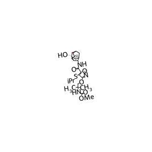 COC(=O)NC(C)(C)COc1noc(C(=O)NC2C3CC4CC(C3)C2C[C@@H](O)C4)c1SC(C)C